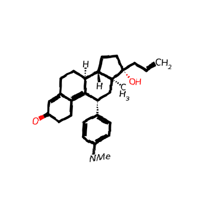 C=CC[C@]1(O)CC[C@H]2[C@@H]3CCC4=CC(=O)CCC4=C3[C@@H](c3ccc(NC)cc3)C[C@@]21C